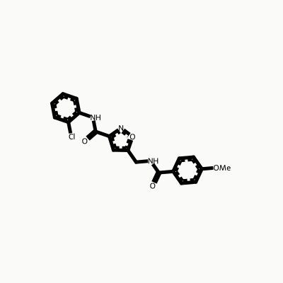 COc1ccc(C(=O)NCc2cc(C(=O)Nc3ccccc3Cl)no2)cc1